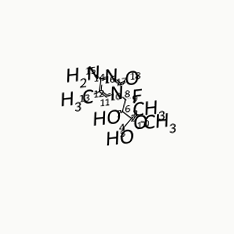 CO[C@](C)(CO)[C@@H](O)[C@@H](F)n1cc(C)c(N)nc1=O